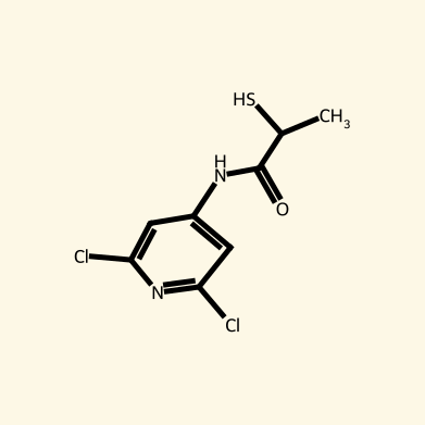 CC(S)C(=O)Nc1cc(Cl)nc(Cl)c1